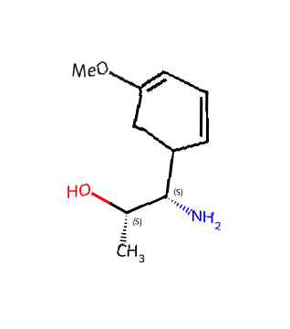 COC1=CC=CC([C@H](N)[C@H](C)O)C1